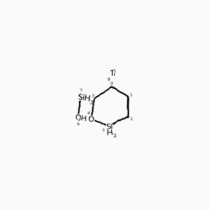 C1CC[SiH2]OC1.O[SiH3].[Ti]